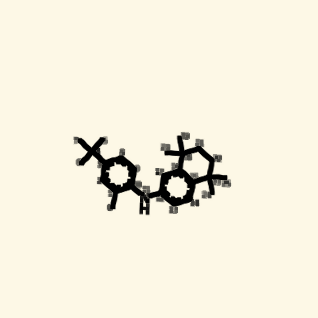 Cc1cc(C(C)(C)C)ccc1Nc1ccc2c(c1)C(C)(C)CCC2(C)C